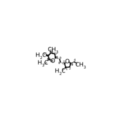 C=C1C[C@H](CC)O[C@H]1CC[C@H]1C[C@@H](C)C(=C)[C@@H](C)O1